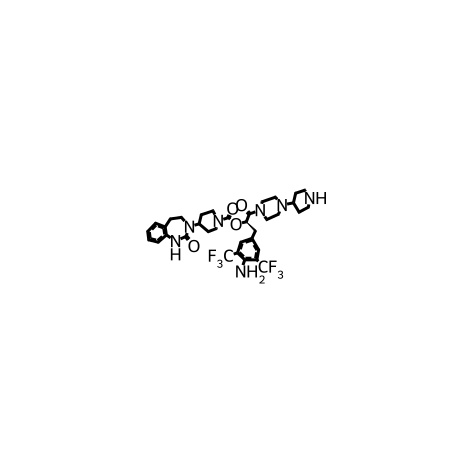 Nc1c(C(F)(F)F)cc(C[C@@H](OC(=O)N2CCC(N3CCc4ccccc4NC3=O)CC2)C(=O)N2CCN(C3CCNCC3)CC2)cc1C(F)(F)F